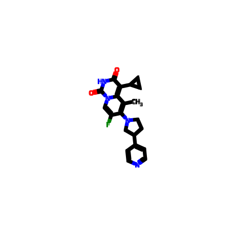 Cc1c(N2CCC(c3ccncc3)C2)c(F)cn2c(=O)[nH]c(=O)c(C3CC3)c12